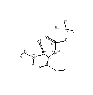 CCC(C)C(NC(=O)OC(C)(C)C)C(=O)N(C)OC